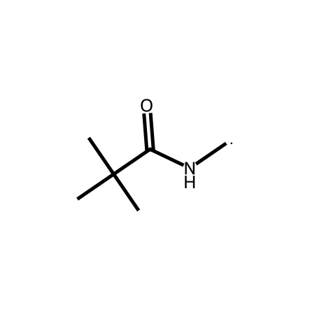 [CH2]NC(=O)C(C)(C)C